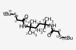 CC(C)(CCC(C)(C)NC(=O)CSC(C)(C)C)NC(=O)CSC(C)(C)C